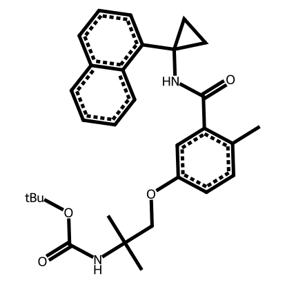 Cc1ccc(OCC(C)(C)NC(=O)OC(C)(C)C)cc1C(=O)NC1(c2cccc3ccccc23)CC1